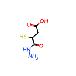 NNC(=O)C(S)CC(=O)O